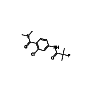 CN(C)C(=O)c1ccc(NC(=O)C(C)(C)F)cc1Cl